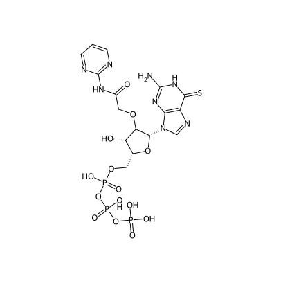 Nc1nc2c(ncn2[C@@H]2O[C@H](COP(=O)(O)OP(=O)(O)OP(=O)(O)O)[C@H](O)C2OCC(=O)Nc2ncccn2)c(=S)[nH]1